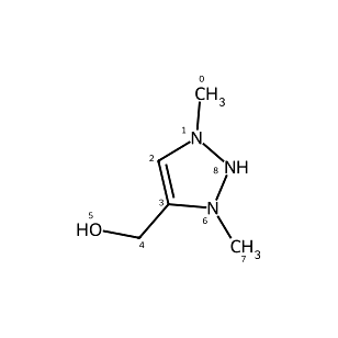 CN1C=C(CO)N(C)N1